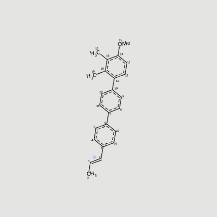 C/C=C/c1ccc(-c2ccc(-c3ccc(OC)c(C)c3C)cc2)cc1